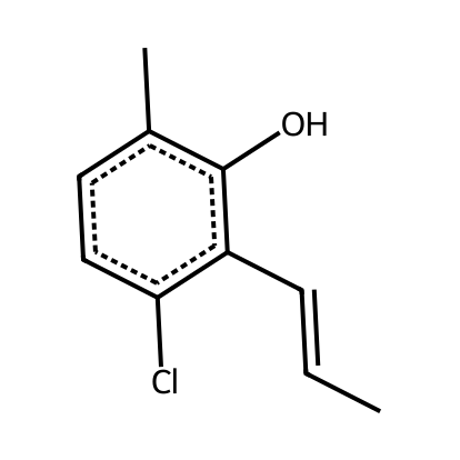 C/C=C/c1c(Cl)ccc(C)c1O